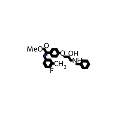 COC(=O)/C(=C/c1ccc(F)c(C)c1)c1ccc(OCC(O)CNCc2ccccc2)cc1